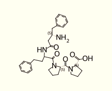 N[C@H](CC(=O)NC(CCc1ccccc1)C(=O)N1CCC[C@H]1C(=O)N1CCC[C@H]1C(=O)O)Cc1ccccc1